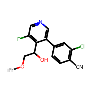 CC(C)OCC(O)c1c(F)cncc1-c1ccc(C#N)c(Cl)c1